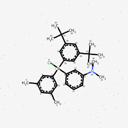 Cc1cc(C)cc([Si](Cl)(c2cccc(N(C)C)c2)c2cc(C(C)(C)C)cc(C(C)(C)C)c2)c1